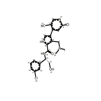 CN(C)Cc1c(-c2cc(Cl)ncc2C#N)c[nH]c1C(=O)N[C@H](CO)c1cccc(Cl)c1